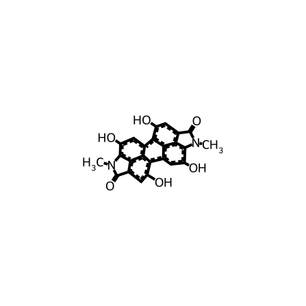 CN1C(=O)c2cc(O)c3c4cc(O)c5c6c(cc(O)c(c7cc(O)c1c2c73)c64)C(=O)N5C